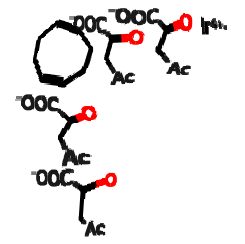 C1=C\CC/C=C\CC/1.CC(=O)CC(=O)C(=O)[O-].CC(=O)CC(=O)C(=O)[O-].CC(=O)CC(=O)C(=O)[O-].CC(=O)CC(=O)C(=O)[O-].[Ir+4]